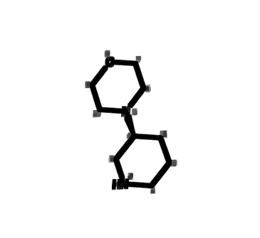 C1CNC[C@@H](N2CCOCC2)C1